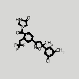 Cc1cc(Cl)cc(C2(C)CC(c3ccc(C(=O)N4CNC(=O)C4)c(CC(F)(F)F)c3)=NO2)c1